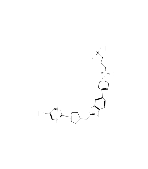 CCCc1cnc(N2CCC(Cc3nc4ccc(C5=CCN(S(=O)(=O)CCCC(C)(C)O)CC5)cc4s3)CC2)nc1